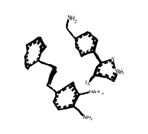 CCc1c[nH]nc1-c1ccc(CN)cc1.Nc1ccc(C=Cc2ccccc2)cc1N